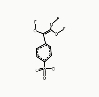 O=S(=O)(Cl)c1ccc(C(OF)=C(OF)OF)cc1